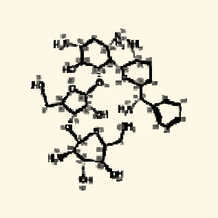 NC[C@@H]1O[C@H](O[C@H]2[C@@H](O)[C@H](O[C@H]3C([C@H]4O[C@H]([C@@H](N)c5ccccc5)CC[C@H]4N)[C@@H](N)C[C@@H](N)[C@@H]3O)O[C@@H]2CO)[C@H](N)[C@@H](O)[C@@H]1O